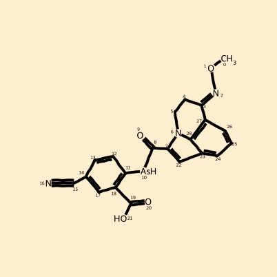 CON=C1CCn2c(C(=O)[AsH]c3ccc(C#N)cc3C(=O)O)cc3cccc1c32